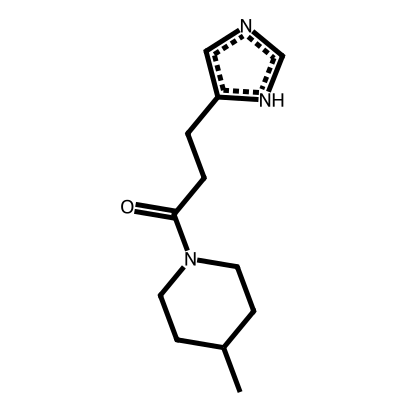 CC1CCN(C(=O)CCc2cnc[nH]2)CC1